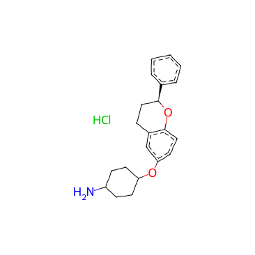 Cl.NC1CCC(Oc2ccc3c(c2)CC[C@@H](c2ccccc2)O3)CC1